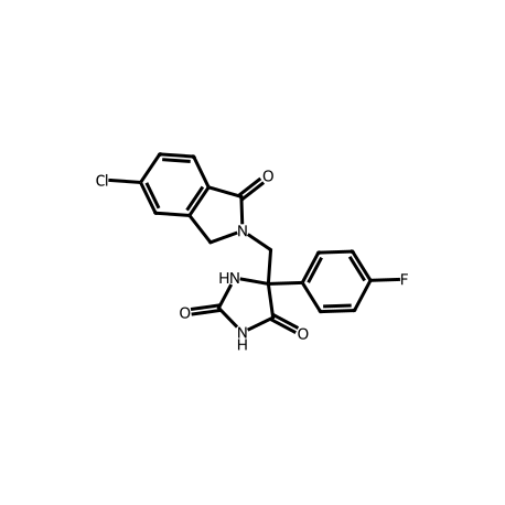 O=C1NC(=O)C(CN2Cc3cc(Cl)ccc3C2=O)(c2ccc(F)cc2)N1